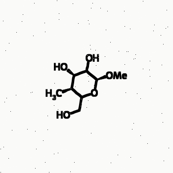 CO[C@H]1OC(CO)[C@@H](C)[C@@H](O)C1O